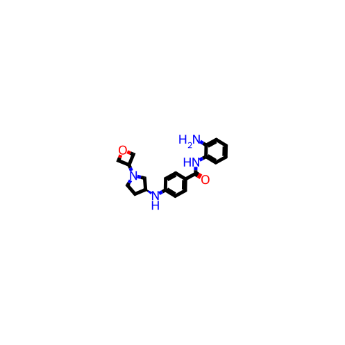 Nc1ccccc1NC(=O)c1ccc(N[C@H]2CCN(C3COC3)C2)cc1